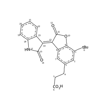 CC(C)(C)c1cc(CCC(=O)O)cc2c1OC(=O)C2=C1C(=O)Nc2ccccc21